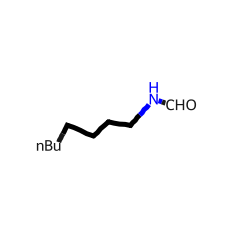 CCCCCCCCNC=O